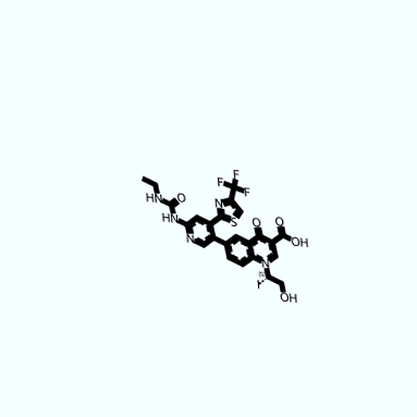 CCNC(=O)Nc1cc(-c2nc(C(F)(F)F)cs2)c(-c2ccc3c(c2)c(=O)c(C(=O)O)cn3[C@@H](I)CO)cn1